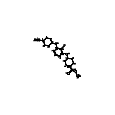 CSN1CCC(Oc2ncnc(OC3CCN(C(=O)OC(C)(C)C)CC3)c2C)CC1